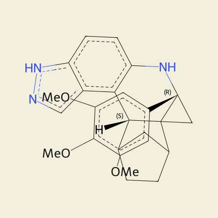 COc1cc([C@@]23CC24C2CCC(C2)[C@@H]4c2c(ccc4[nH]ncc24)N3)cc(OC)c1OC